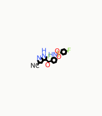 N#Cc1cnc2[nH]cc(C(=O)c3cccc(NS(=O)(=O)c4ccc(F)cc4)c3F)c2c1